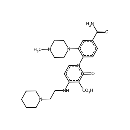 CN1CCN(c2cc(C(N)=O)ccc2-n2ccc(NCCN3CCCCC3)c(C(=O)O)c2=O)CC1